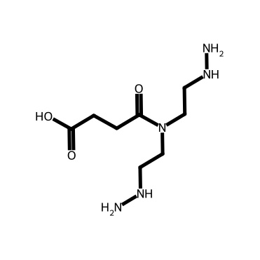 NNCCN(CCNN)C(=O)CCC(=O)O